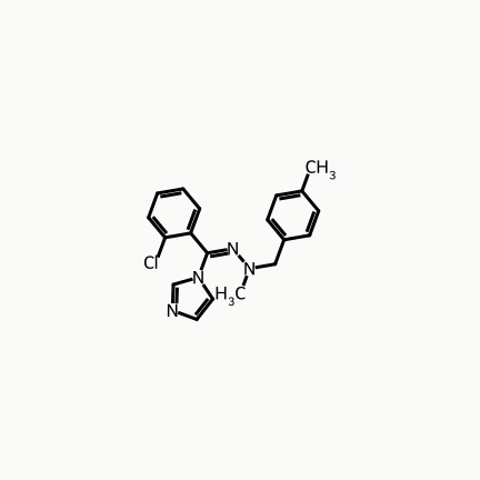 Cc1ccc(CN(C)N=C(c2ccccc2Cl)n2ccnc2)cc1